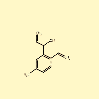 C=Cc1ccc(C)cc1C(O)C=C